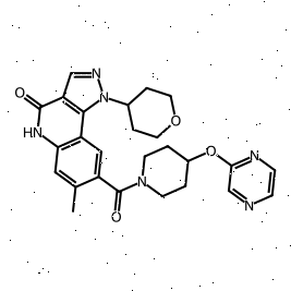 Cc1cc2[nH]c(=O)c3cnn(C4CCOCC4)c3c2cc1C(=O)N1CCC(Oc2cnccn2)CC1